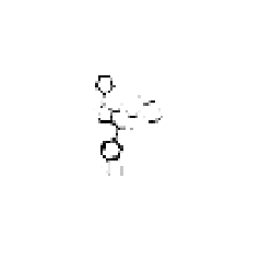 C[C@H]1COCCN1c1nc(-c2ccc(N)cc2)c2cnn(C3CCCC3)c2n1